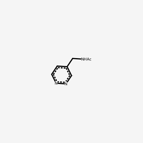 CC(=O)NCc1[c]nncc1